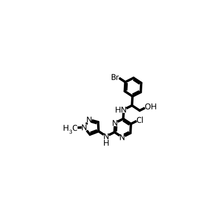 Cn1cc(Nc2ncc(Cl)c(NC(CO)c3cccc(Br)c3)n2)cn1